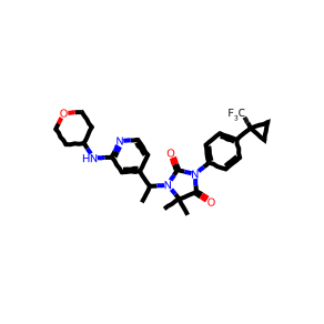 CC(c1ccnc(NC2CCOCC2)c1)N1C(=O)N(c2ccc(C3(C(F)(F)F)CC3)cc2)C(=O)C1(C)C